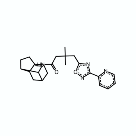 CC(C)(CC(=O)NC1C2CC=C3CCC1C3C2)Cc1nc(-c2ccccn2)no1